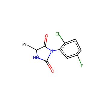 CC(C)C1NC(=O)N(c2cc(F)ccc2Cl)C1=O